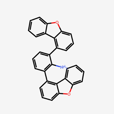 Nc1c(-c2cccc3oc4ccccc4c23)cccc1-c1cccc2oc3ccccc3c12